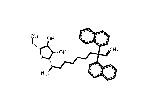 C=CC(CCCCCCC(C)[C@@H]1O[C@H](CO)[C@@H](O)[C@@H]1O)(c1cccc2ccccc12)c1cccc2ccccc12